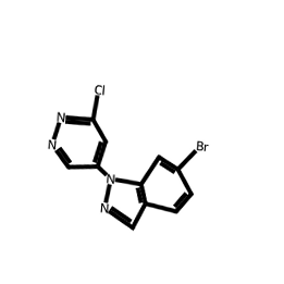 Clc1cc(-n2ncc3ccc(Br)cc32)cnn1